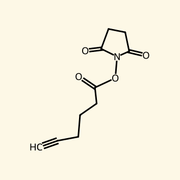 C#CCCCC(=O)ON1C(=O)CCC1=O